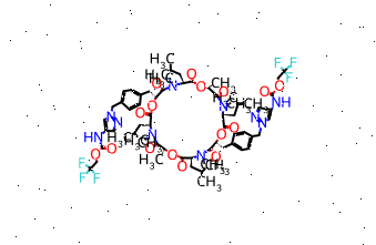 CC(C)C[C@H]1C(=O)O[C@H](Cc2ccc(Cn3cc(NC(=O)OCC(F)(F)F)cn3)cc2)C(=O)N(C)[C@@H](CC(C)C)C(=O)O[C@H](C)C(=O)N(C)[C@@H](CC(C)C)C(=O)O[C@H](Cc2ccc(Cn3cc(NC(=O)OCC(F)(F)F)cn3)cc2)C(=O)N(C)[C@@H](CC(C)C)C(=O)O[C@H](C)C(=O)N1C